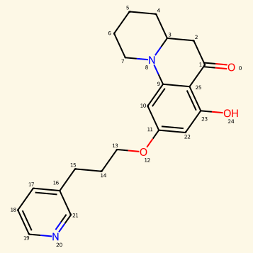 O=C1CC2CCCCN2c2cc(OCCCc3cccnc3)cc(O)c21